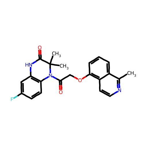 Cc1nccc2c(OCC(=O)N3c4ccc(F)cc4NC(=O)C3(C)C)cccc12